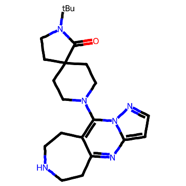 CC(C)(C)N1CCC2(CCN(c3c4c(nc5ccnn35)CCNCC4)CC2)C1=O